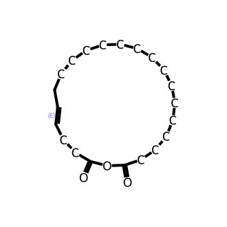 O=C1CC/C=C/CCCCCCCCCCCCCCCC(=O)O1